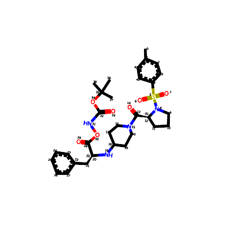 Cc1ccc(S(=O)(=O)N2CCC[C@H]2C(=O)N2CCC(N[C@@H](Cc3ccccc3)C(=O)ONC(=O)OC(C)(C)C)CC2)cc1